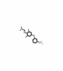 Cc1cc(Oc2cccc(C(F)(F)F)c2)cc(C)c1/N=C/N(C)C